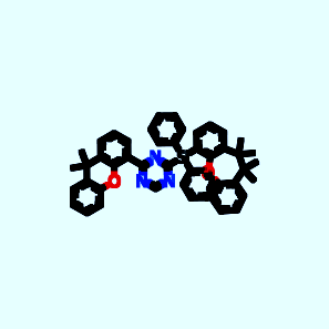 CC1(C)c2ccccc2Oc2c(-c3ncnc([Si](c4ccccc4)(c4ccccc4)c4cccc5c4Oc4ccccc4C(C)(C)C5(C)C)n3)cccc21